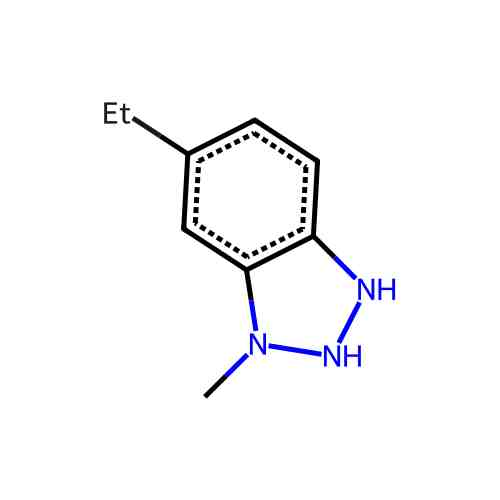 CCc1ccc2c(c1)N(C)NN2